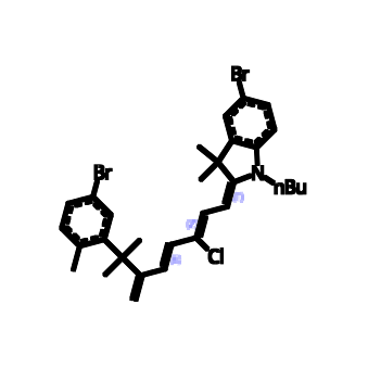 C=C(/C=C/C(Cl)=C/C=C1/N(CCCC)c2ccc(Br)cc2C1(C)C)C(C)(C)c1cc(Br)ccc1C